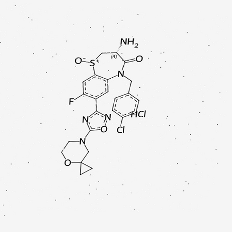 Cl.N[C@H]1C[S+]([O-])c2cc(F)c(-c3noc(N4CCOC5(CC5)C4)n3)cc2N(Cc2ccc(Cl)cc2)C1=O